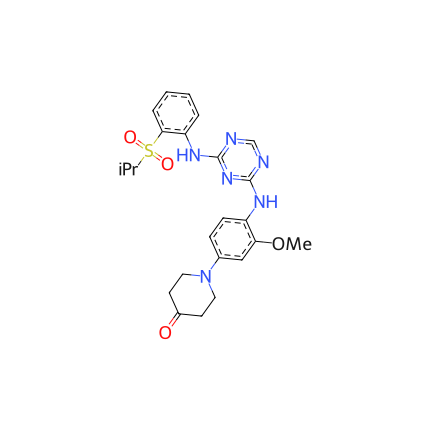 COc1cc(N2CCC(=O)CC2)ccc1Nc1ncnc(Nc2ccccc2S(=O)(=O)C(C)C)n1